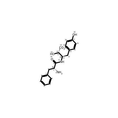 N[C@H](Cc1ccccc1)C(=O)N[C@H](Cc1ccc(O)cc1)[C@H](O)C(=O)O